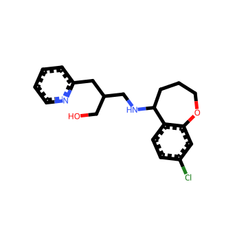 OCC(CNC1CCCOc2cc(Cl)ccc21)Cc1ccccn1